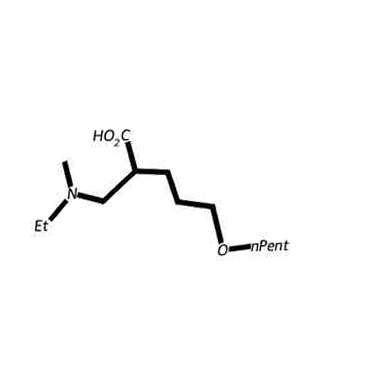 CCCCCOCCCC(CN(C)CC)C(=O)O